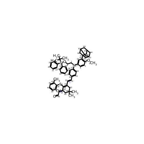 COc1ccc(N(CCO[Si](c2ccccc2)(c2ccccc2)C(C)(C)C)c2ccc(/C=C/C3=C(Sc4c(C)cccc4C)C(=C/C=O)/CC(C)(C)C3)cc2)cc1C12CC3CC(CC(C3)C1)C2